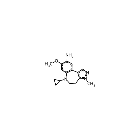 COc1cc2c(cc1N)-c1cnn(C)c1CCN2C1CC1